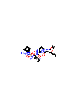 C/C=C\[C@@H]1C[C@]1(NC(=O)[C@@H]1CCCN1C(=O)[C@H](CCCCC)NC(=O)OC(C)(C)C)C(=O)NS(=O)(=O)NC1CCC1